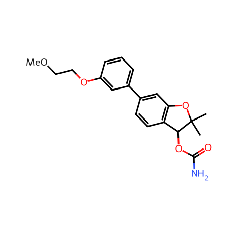 COCCOc1cccc(-c2ccc3c(c2)OC(C)(C)C3OC(N)=O)c1